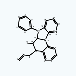 C=CCC1c2ccccc2N2c3ncccc3N(c3ccccc3)C2C1C